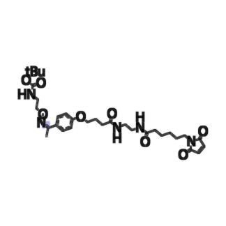 C/C(=N/OCCNC(=O)OC(C)(C)C)c1ccc(OCCCC(=O)NCCNC(=O)CCCCCN2C(=O)C=CC2=O)cc1